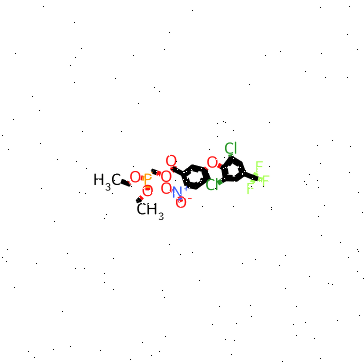 CCOP(COC(=O)c1cc(Oc2c(Cl)cc(C(F)(F)F)cc2Cl)ccc1[N+](=O)[O-])OCC